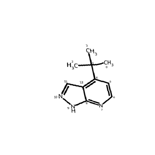 CC(C)(C)c1ccnc2[nH]ncc12